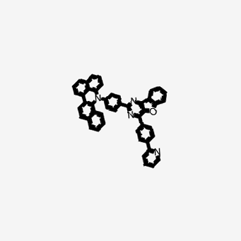 c1ccc(-c2ccc(-c3nc(-c4ccc(N5c6c(ccc7ccccc67)-c6cccc7cccc5c67)cc4)nc4c3oc3ccccc34)cc2)nc1